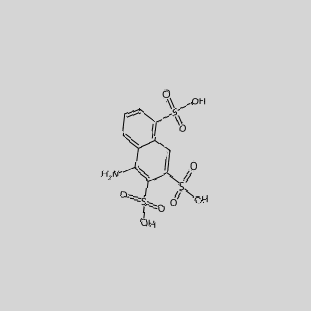 Nc1c(S(=O)(=O)O)c(S(=O)(=O)O)cc2c(S(=O)(=O)O)cccc12